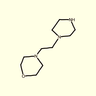 [CH](CN1CCNCC1)N1CCOCC1